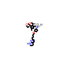 Cc1cc([C@H](C(=O)O)N(C)[C@H]2CC[C@H](OCCCCc3ccc4c(n3)NCCC4)C2)c2c(c1)[C@]1(CCCOC1)OC[C@H]2C